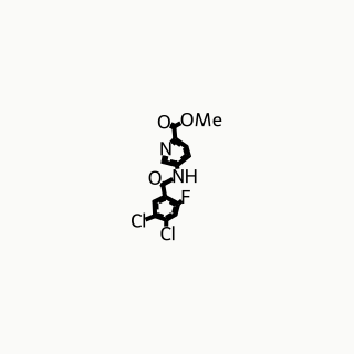 COC(=O)c1ccc(NC(=O)c2cc(Cl)c(Cl)cc2F)cn1